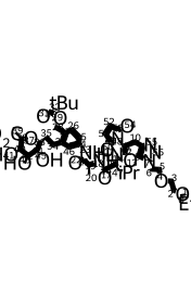 CCOCCOCCn1cc(CC(C(=O)N[C@H](C(=O)N[C@@H](C)C(=O)Nc2ccc(COC(=O)C(C)(C)C)c(CC[C@@H]3O[C@H](C(=O)O)[C@@H](O)[C@H](O)[C@H]3O)c2)C(C)C)N2C(=O)C=CC2=O)nn1